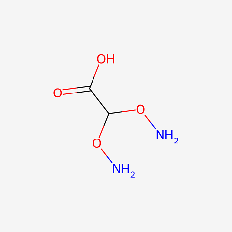 NOC(ON)C(=O)O